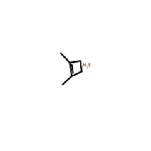 CC1=C(C)CC1.S